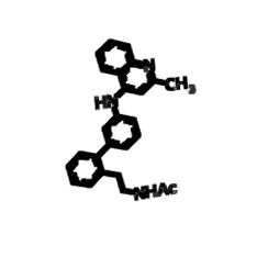 CC(=O)NCCc1ccccc1-c1cccc(Nc2cc(C)nc3ccccc23)c1